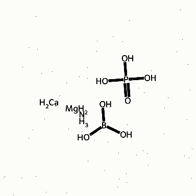 N.O=P(O)(O)O.OB(O)O.[CaH2].[MgH2]